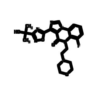 CC(C)(O)c1noc(-c2ncn3c2c(=O)n(CCN2CCOCC2)c2c(F)cccc23)n1